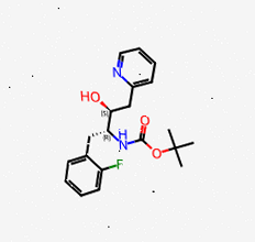 CC(C)(C)OC(=O)N[C@H](Cc1ccccc1F)[C@@H](O)Cc1ccccn1